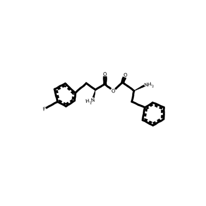 N[C@@H](Cc1ccccc1)C(=O)OC(=O)[C@@H](N)Cc1ccc(F)cc1